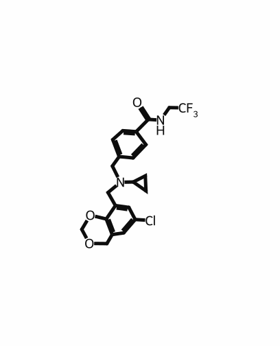 O=C(NCC(F)(F)F)c1ccc(CN(Cc2cc(Cl)cc3c2OCOC3)C2CC2)cc1